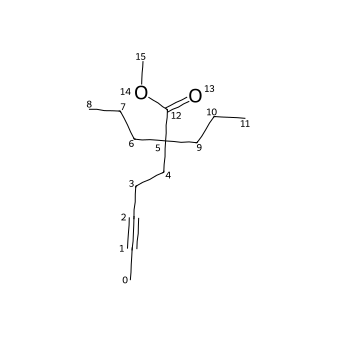 CC#CCCC(CCC)(CCC)C(=O)OC